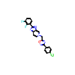 Fc1cccc(-c2nc3ccn(Cc4nc(-c5ccc(Cl)cc5)no4)cc-3n2)c1F